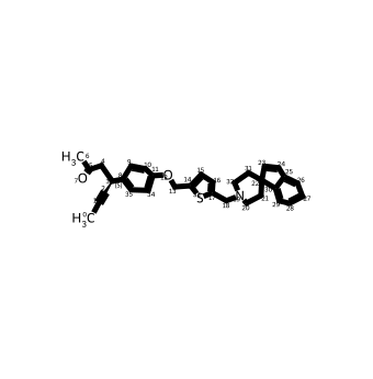 CC#C[C@@H](CC(C)=O)c1ccc(OCc2ccc(CN3CCC4(C=Cc5ccccc54)CC3)s2)cc1